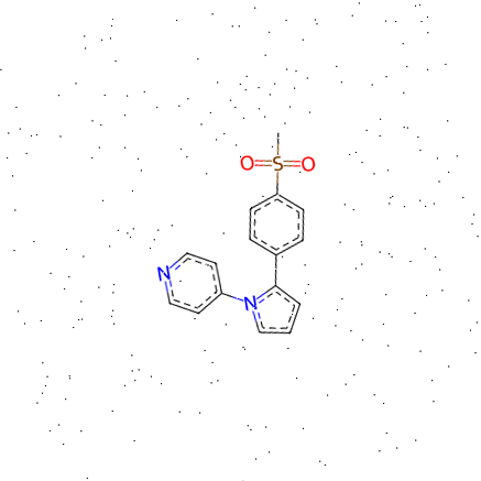 CS(=O)(=O)c1ccc(-c2cccn2-c2ccncc2)cc1